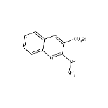 CCOC(=O)c1cc2ccccc2nc1NN